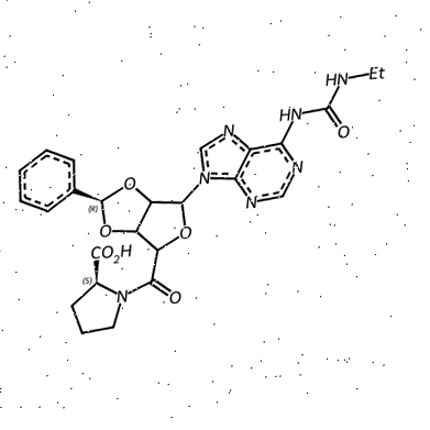 CCNC(=O)Nc1ncnc2c1ncn2C1OC(C(=O)N2CCC[C@H]2C(=O)O)C2O[C@@H](c3ccccc3)OC21